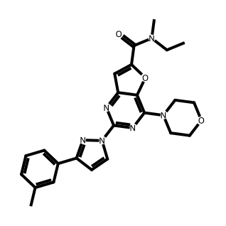 CCN(C)C(=O)c1cc2nc(-n3ccc(-c4cccc(C)c4)n3)nc(N3CCOCC3)c2o1